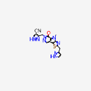 Cn1c2nc(Cc3cc[nH]n3)sc2c2cnn(Cc3n[nH]cc3C#N)c(=O)c21